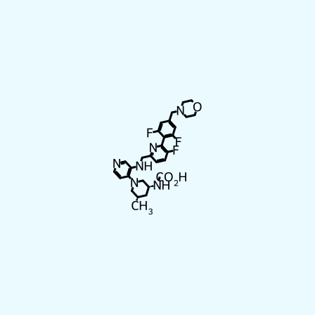 C[C@@H]1C[C@H](NC(=O)O)CN(c2ccncc2NCc2ccc(F)c(-c3c(F)cc(CN4CCOCC4)cc3F)n2)C1